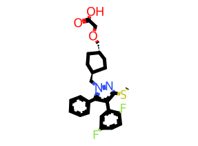 CSc1nn(C[C@H]2CC[C@H](COCC(=O)O)CC2)c(-c2ccccc2)c1-c1cc(F)ccc1F